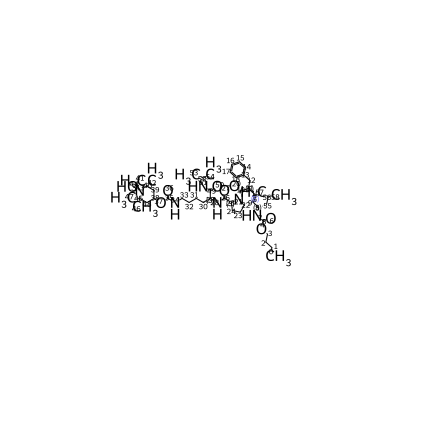 CCCCOC(=O)N[C@H](/C=C/[C@H](Cc1ccccc1)C(=O)N1CCC[C@H]1C(=O)N[C@@H](CCCCNC(=O)OC1CC(C)(C)N(O)C(C)(C)C1)C(=O)NC(C)C)CC(C)C